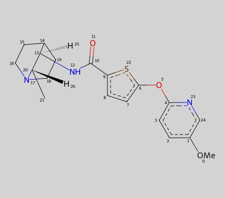 COc1ccc(Oc2ccc(C(=O)N[C@@H]3C4CCN(CC4)[C@H]3C)s2)nc1